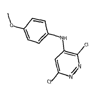 COc1ccc(Nc2cc(Cl)nnc2Cl)cc1